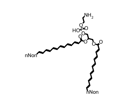 CCCCCCCCCC=CC=CC=CC=CC=CC=CC(=O)OCC(COP(=O)(O)OCCN)OC(=O)C=CC=CC=CC=CC=CC=CCCCCCCCCC